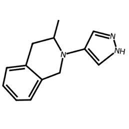 CC1Cc2ccccc2CN1c1cn[nH]c1